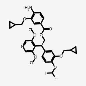 Nc1ccc(C(=O)OC[C@@H](c2ccc(OC(F)F)c(OCC3CC3)c2)c2c(OCl)cncc2OCl)cc1OCC1CC1